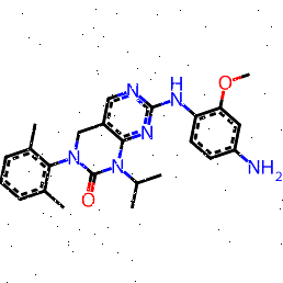 COc1cc(N)ccc1Nc1ncc2c(n1)N(C(C)C)C(=O)N(c1c(C)cccc1C)C2